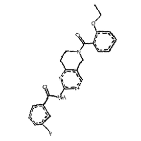 CCOc1ccccc1C(=O)N1CCc2nc(NC(=O)c3cccc(F)c3)ncc2C1